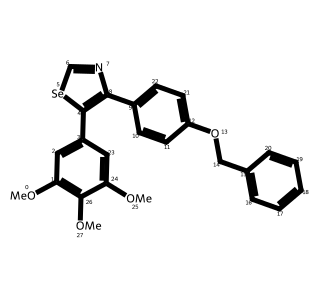 COc1cc(-c2[se]cnc2-c2ccc(OCc3ccccc3)cc2)cc(OC)c1OC